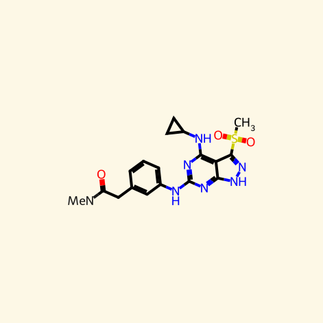 CNC(=O)Cc1cccc(Nc2nc(NC3CC3)c3c(S(C)(=O)=O)n[nH]c3n2)c1